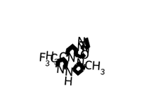 Cc1ccc(-n2nccn2)c(C(=O)N2C(C)C3CC(Nc4ccc(C(F)(F)F)cn4)C2C3)n1